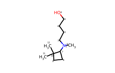 CN(CCCCO)C1CCC1(C)C